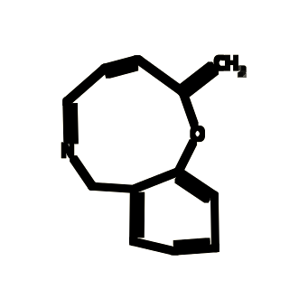 C=C1/C=C\C=N/Cc2ccccc2O1